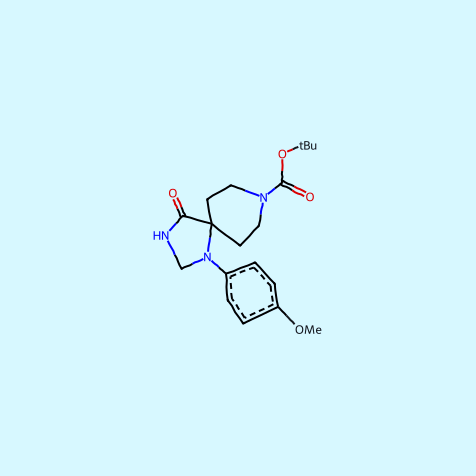 COc1ccc(N2CNC(=O)C23CCN(C(=O)OC(C)(C)C)CC3)cc1